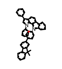 CC1(C)c2ccccc2-c2ccc(-c3ccc(-n4c5ccccc5c5ccc6c(-c7ccccc7)cn(-c7ccccc7)c6c54)cc3)cc21